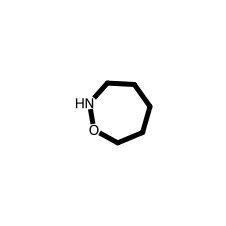 C1CCNOCC1